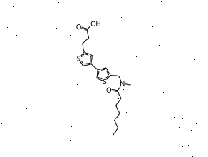 CCCCCCC(=O)N(C)Cc1cc(-c2csc(CCC(=O)O)c2)cs1